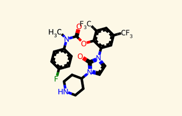 CN(C(=O)Oc1c(-n2ccn(C3CCNCC3)c2=O)cc(C(F)(F)F)cc1C(F)(F)F)c1ccc(F)cc1